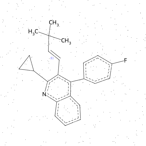 CC(C)(C)/C=C/c1c(C2CC2)nc2ccccc2c1-c1ccc(F)cc1